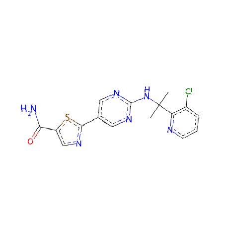 CC(C)(Nc1ncc(-c2ncc(C(N)=O)s2)cn1)c1ncccc1Cl